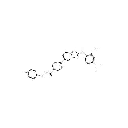 COc1cc([S+](C)[O-])ccc1Nc1nc2ccc(-c3ccc(C(=O)NCc4ccc(F)cc4)cc3)cn2n1